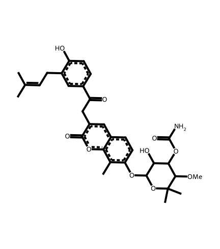 COC1C(OC(N)=O)C(O)C(Oc2ccc3cc(CC(=O)c4ccc(O)c(CC=C(C)C)c4)c(=O)oc3c2C)OC1(C)C